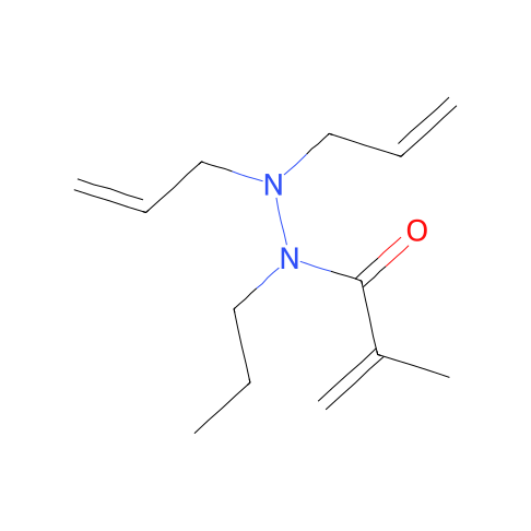 C=CCN(CC=C)N(CCC)C(=O)C(=C)C